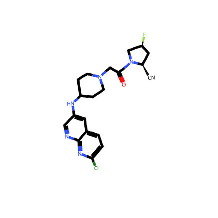 N#C[C@@H]1C[C@H](F)CN1C(=O)CN1CCC(Nc2cnc3nc(Cl)ccc3c2)CC1